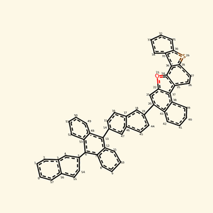 c1ccc2cc(-c3c4ccccc4c(-c4ccc5cc(-c6cc7oc8c(ccc9sc%10ccccc%10c98)c7c7ccccc67)ccc5c4)c4ccccc34)ccc2c1